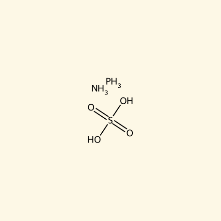 N.O=S(=O)(O)O.P